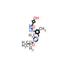 Cc1cc(CN2CCN(C(=O)OC(C)(C)C)CC2)c(C)c(Nc2nnc(C3CC(O)C3)o2)c1